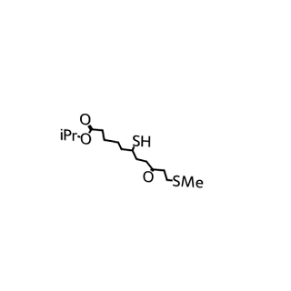 CSCCC(=O)CCC(S)CCCCC(=O)OC(C)C